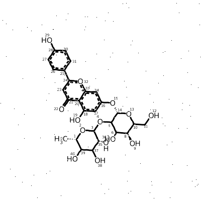 C[C@@H]1OC(OC2C(O)[C@H](O)C(CO)O[C@H]2Oc2cc(O)c3c(=O)cc(-c4ccc(O)cc4)oc3c2)[C@H](O)C(O)C1O